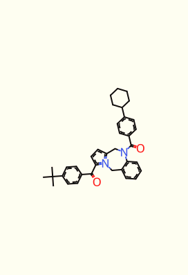 CC(C)(C)c1ccc(C(=O)c2ccc3n2Cc2ccccc2N(C(=O)c2ccc(C4CCCCC4)cc2)C3)cc1